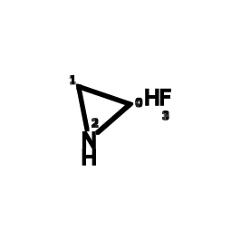 C1CN1.F